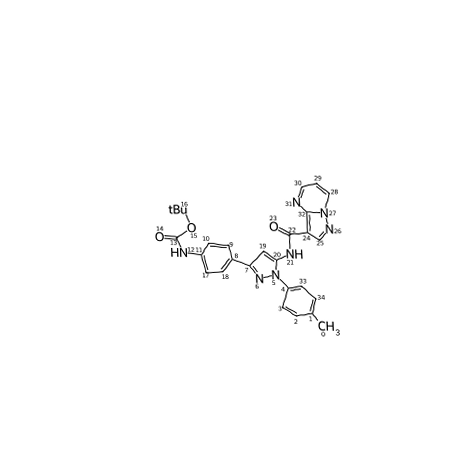 Cc1ccc(-n2nc(-c3ccc(NC(=O)OC(C)(C)C)cc3)cc2NC(=O)c2cnn3cccnc23)cc1